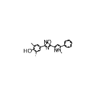 Cc1cc(-c2noc(-c3cc(-c4ccccc4)n(C)n3)n2)cc(C)c1O